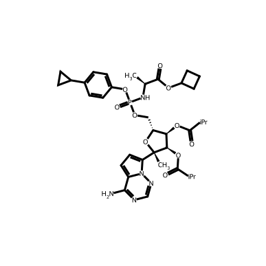 CC(C)C(=O)O[C@H]1[C@@H](OC(=O)C(C)C)[C@](C)(c2ccc3c(N)ncnn23)O[C@@H]1COP(=O)(N[C@@H](C)C(=O)OC1CCC1)Oc1ccc(C2CC2)cc1